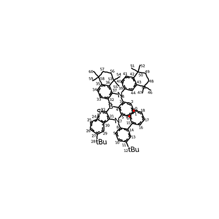 Cc1cc2c3c(c1)N(c1ccc(C(C)(C)C)cc1-c1ccccc1)c1c(sc4ccc(C(C)(C)C)cc14)B3c1ccc3c(c1N2c1ccc2c(c1)C(C)(C)CCC2(C)C)C(C)(C)CCC3(C)C